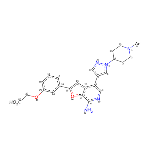 CC(=O)N1CCC(n2cc(-c3cnc(N)c4oc(-c5cccc(OCC(=O)O)c5)cc34)cn2)CC1